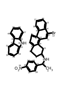 CC(NC1CCc2ccc3c(cc(Br)c4ccccc43)c2C1)c1ccc([N+](=O)[O-])cc1.c1ccc2c(c1)[nH]c1ccccc12